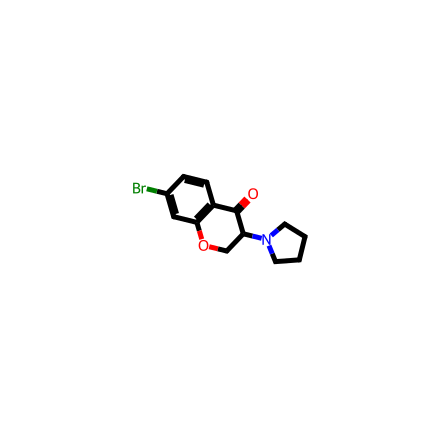 O=C1c2ccc(Br)cc2OCC1N1CCCC1